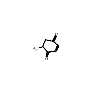 CC1CC(=O)C=CC1=O